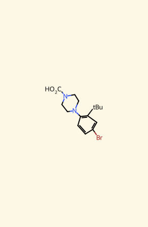 CC(C)(C)c1cc(Br)ccc1N1CCN(C(=O)O)CC1